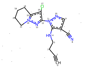 C#CCCNc1c(C#N)cnn1-c1nn2c(c1Cl)CCCC2